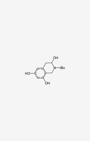 CC(C)(C)N1Cc2c(O)cc(O)cc2CC1O